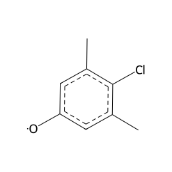 Cc1cc([O])cc(C)c1Cl